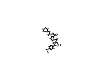 CC(C)CC(NC(=O)c1ccc(N(C)C)cc1)C(=O)N1CCC2C1C(=O)CN2C(=O)CC1CCNCC1